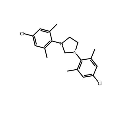 Cc1cc(Cl)cc(C)c1N1CCN(c2c(C)cc(Cl)cc2C)C1